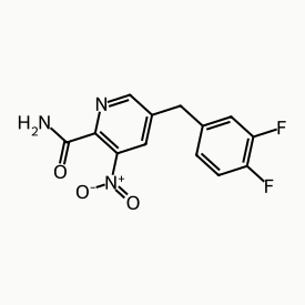 NC(=O)c1ncc(Cc2ccc(F)c(F)c2)cc1[N+](=O)[O-]